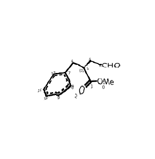 COC(=O)[C@H](CC=O)Cc1ccccc1